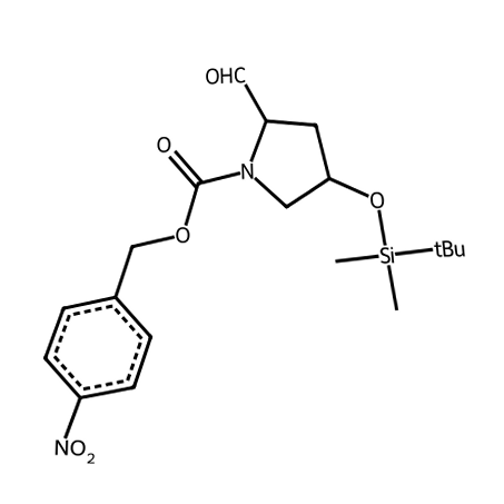 CC(C)(C)[Si](C)(C)OC1CC(C=O)N(C(=O)OCc2ccc([N+](=O)[O-])cc2)C1